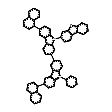 c1ccc(-n2c3ccc(-c4ccc5c6cc(-c7cccc8ccccc78)ccc6n(-c6ccc7c(c6)oc6ccccc67)c5c4)cc3c3cc(-c4cccc5ccccc45)ccc32)cc1